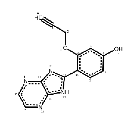 C#CCOc1cc(O)ccc1-c1nc2nccnc2[nH]1